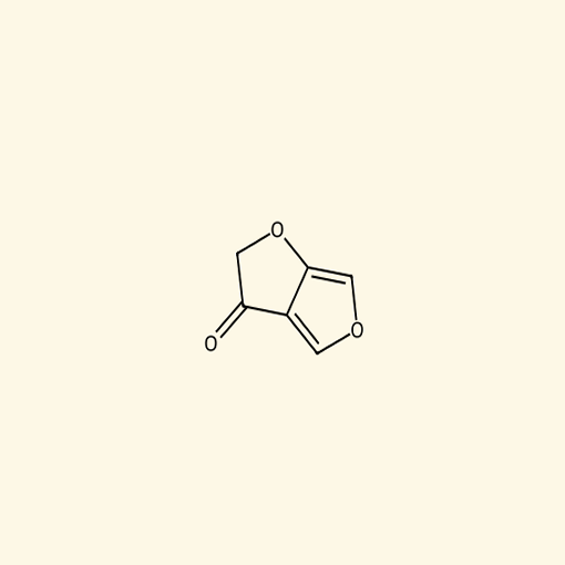 O=C1COc2cocc21